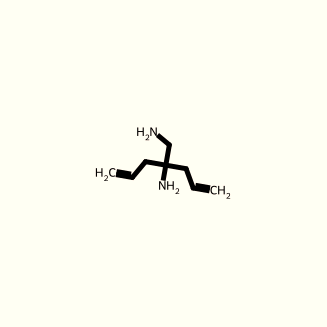 C=CCC(N)(CN)CC=C